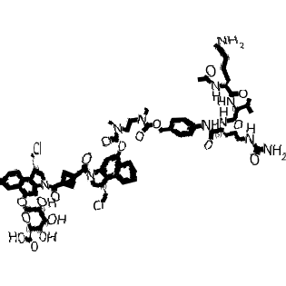 CC(=O)N[C@@H](CCCCN)C(=O)N[C@H](C(=O)N[C@@H](CCCNC(N)=O)C(=O)Nc1ccc(COC(=O)N(C)CCN(C)C(=O)Oc2cc3c(c4ccccc24)[C@H](CCl)CN3C(=O)C23CC(C(=O)N4C[C@@H](CCl)c5c4cc(O[C@@H]4O[C@H](C(=O)O)[C@@H](O)[C@H](O)[C@H]4O)c4ccccc54)(C2)C3)cc1)C(C)C